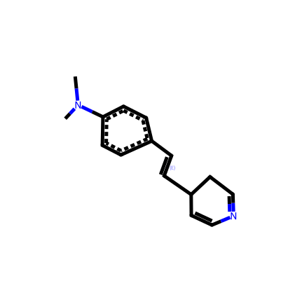 CN(C)c1ccc(/C=C/C2C=CN=CC2)cc1